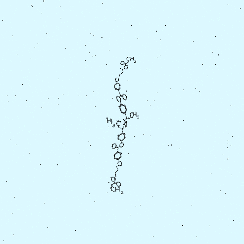 C=CC(=O)OCCCCOc1ccc(C(=O)Oc2ccc(/C(CC)=N/N=C(\CC)c3ccc(OC(=O)c4ccc(OCCCCOC(=O)C=C)cc4)cc3)cc2)cc1